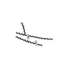 CCCCCCCCCCCCCCCC(=O)OCCCC.CCCCCCCCCCCCCCCCCC(=O)OCC(CCCCCC)CCCCCCCC